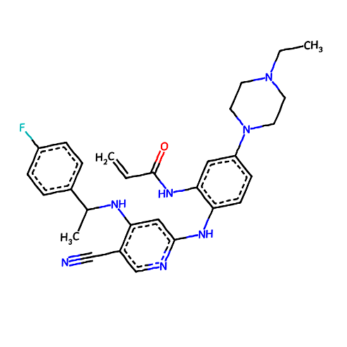 C=CC(=O)Nc1cc(N2CCN(CC)CC2)ccc1Nc1cc(NC(C)c2ccc(F)cc2)c(C#N)cn1